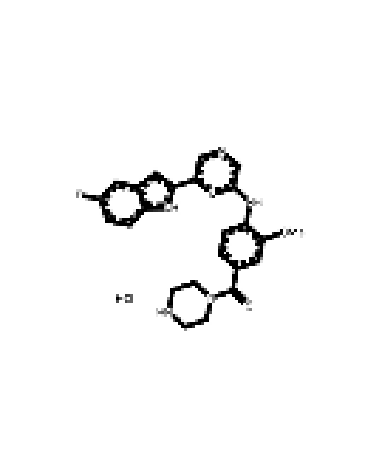 COc1cc(C(=O)N2CCNCC2)ccc1Nc1cncc(-c2cc3cc(F)ccc3[nH]2)n1.Cl